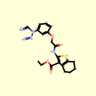 CCOC(=O)c1c(NC(=O)COc2cccc(N(C=N)N=N)c2)sc2c1CCCC2